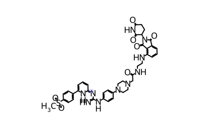 CS(=O)(=O)c1ccc(-c2ccc/c(=N/C(=N)Nc3ccc(N4CCN(CC(=O)NCCNc5cccc6c5C(=O)N(C5CCC(=O)NC5=O)C6=O)CC4)cc3)[nH]2)cc1